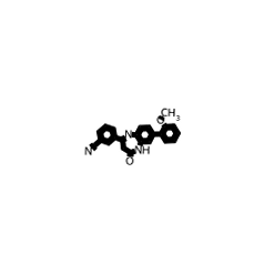 COc1ccccc1-c1ccc2c(c1)NC(=O)CC(c1cccc(C#N)c1)=N2